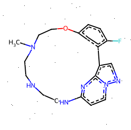 CN1CCNCCNc2ccn3ncc(c3n2)-c2cc(ccc2F)OCC1